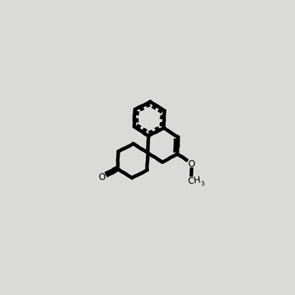 COC1=Cc2ccccc2C2(CCC(=O)CC2)C1